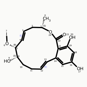 C[C@H]1C/C=C/[C@@H](OI)[C@@H](O)CC/C=C/c2cc(O)cc(O)c2C(=O)O1